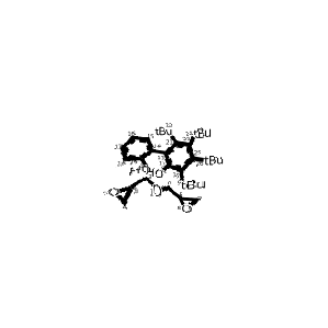 C(OCC1CO1)C1CO1.CC(C)(C)c1c(O)c(-c2ccccc2O)c(C(C)(C)C)c(C(C)(C)C)c1C(C)(C)C